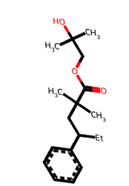 CCC(CC(C)(C)C(=O)OCC(C)(C)O)c1ccccc1